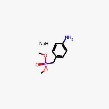 COP(=O)(Cc1ccc(N)cc1)OC.[NaH]